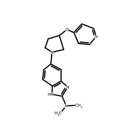 CN(C)c1nc2cc(N3CCC(Oc4ccncc4)C3)ccc2[nH]1